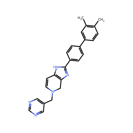 Cc1ccc(-c2ccc(-c3nc4c([nH]3)C=CN(Cc3cncnc3)C4)cc2)cc1C